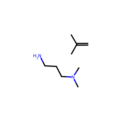 C=C(C)C.CN(C)CCCN